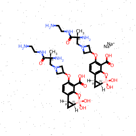 C[C@@](N)(CN1CC(Oc2ccc3c(c2C(=O)O)O[B-](O)(O)[C@H]2C[C@@H]32)C1)C(=O)NCCN.C[C@@](N)(CN1CC(Oc2ccc3c(c2C(=O)O)O[B-](O)(O)[C@H]2C[C@@H]32)C1)C(=O)NCCN.[Na+].[Na+]